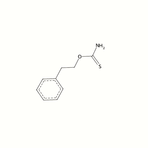 NC(=S)OCCc1ccccc1